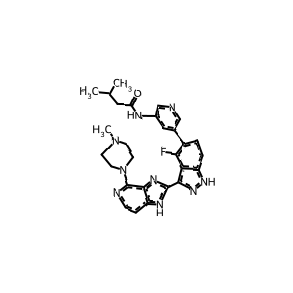 CC(C)CC(=O)Nc1cncc(-c2ccc3[nH]nc(-c4nc5c(N6CCN(C)CC6)nccc5[nH]4)c3c2F)c1